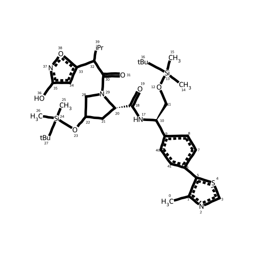 Cc1ncsc1-c1ccc([C@H](CO[Si](C)(C)C(C)(C)C)NC(=O)[C@@H]2CC(O[Si](C)(C)C(C)(C)C)CN2C(=O)C(c2cc(O)no2)C(C)C)cc1